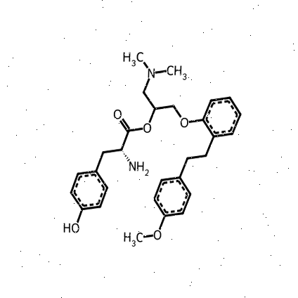 COc1ccc(CCc2ccccc2OCC(CN(C)C)OC(=O)[C@H](N)Cc2ccc(O)cc2)cc1